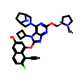 C#Cc1c(F)ccc2cc(O)cc(Oc3nc4nc(OC[C@@H]5CCCN5C)nc(N5CC6CCC(C5)N6)c4n3C3CCC3)c12